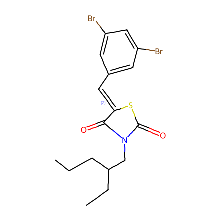 CCCC(CC)CN1C(=O)S/C(=C\c2cc(Br)cc(Br)c2)C1=O